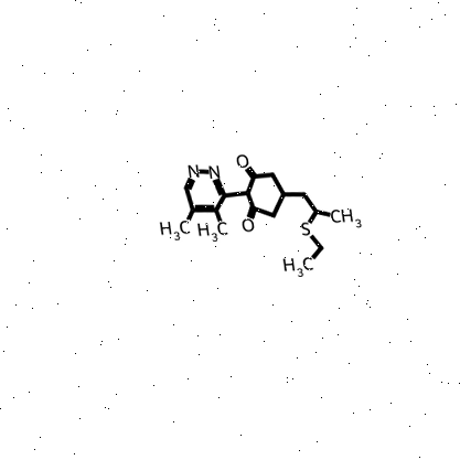 CCSC(C)CC1CC(=O)C(c2nncc(C)c2C)C(=O)C1